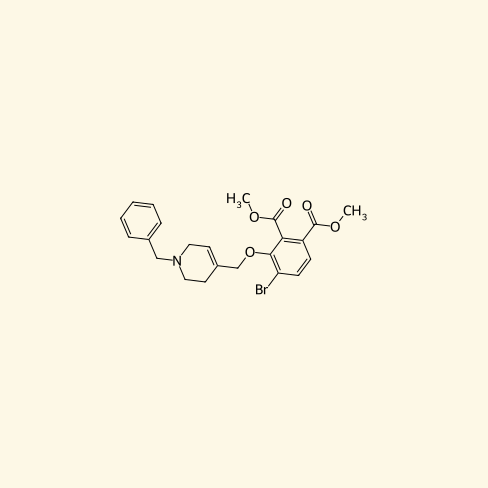 COC(=O)c1ccc(Br)c(OCC2=CCN(Cc3ccccc3)CC2)c1C(=O)OC